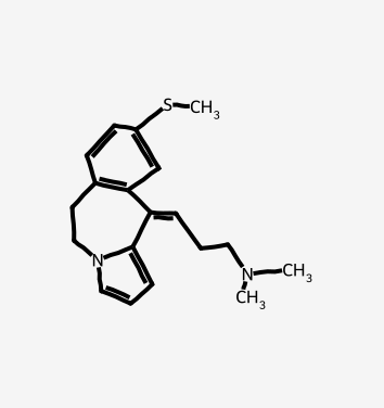 CSc1ccc2c(c1)C(=CCCN(C)C)c1cccn1CC2